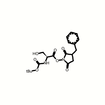 CC(C)(C)OC(=O)N[C@@H](CO)C(=O)ON1C(=O)CC(Cc2ccccc2)C1=O